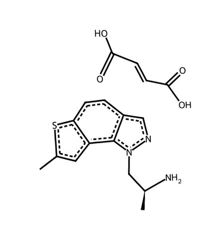 Cc1cc2c(ccc3cnn(C[C@H](C)N)c32)s1.O=C(O)/C=C/C(=O)O